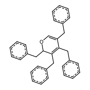 C1=C(Cc2ccccc2)C(Cc2ccccc2)=C(Cc2ccccc2)C(Cc2ccccc2)O1